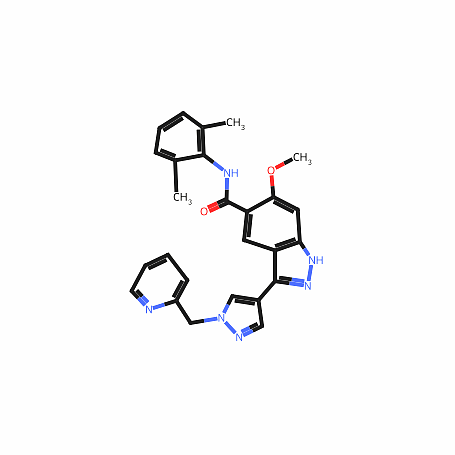 COc1cc2[nH]nc(-c3cnn(Cc4ccccn4)c3)c2cc1C(=O)Nc1c(C)cccc1C